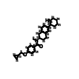 CN(C(=O)c1ccc(OCC2CC2)cc1)[C@H]1CCc2cc(C3CCCCN3)ccc2C1